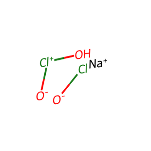 [Na+].[O-]Cl.[O-][Cl+]O